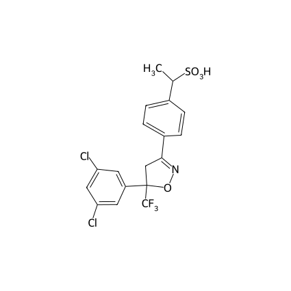 CC(c1ccc(C2=NOC(c3cc(Cl)cc(Cl)c3)(C(F)(F)F)C2)cc1)S(=O)(=O)O